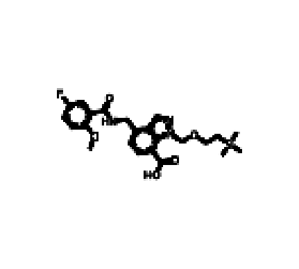 COc1ccc(F)cc1C(=O)NCc1ccc(C(=O)O)c2c1cnn2COCC[Si](C)(C)C